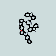 c1ccc2cc3c(cc2c1)c1ccccc1n3-c1cc(-c2nc(-c3cccc4oc5ccccc5c34)nc(-c3cccc4oc5ccccc5c34)n2)c2c(c1)oc1ccccc12